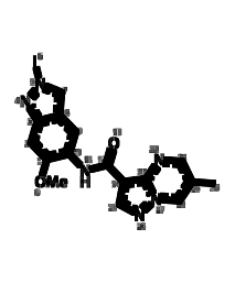 COc1cc2nn(I)cc2cc1NC(=O)c1cnn2cc(C)cnc12